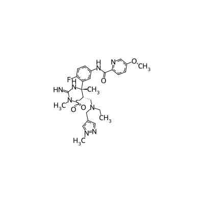 CCN(Cc1cnn(C)c1)C[C@H]1[C@@](C)(c2cc(NC(=O)c3ccc(OC)cn3)ccc2F)NC(=N)N(C)S1(=O)=O